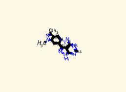 Cc1nn(C)c2cc(-c3n[nH]c4ncnc(N)c34)ccc12